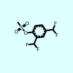 CS(=O)(=O)Oc1[c]cc(C(F)F)cc1C(F)F